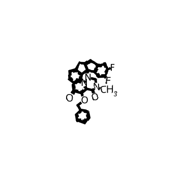 CN1CN(C23C(=Cc4cc(F)c(F)cc42)Cc2ccccc23)n2ccc(=O)c(OCc3ccccc3)c2C1=O